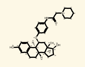 C[C@]12C[C@H](Oc3ccc(NC(=O)CN4CCCCC4)cc3)[C@@H]3c4ccc(O)cc4CC[C@H]3[C@@H]1CC[C@@H]2O